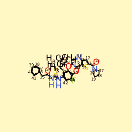 CC(C)(C)[Si](C)(C)ON1C=Nc2cc(C(=O)N3CCCC3)sc2[C@@H]1Oc1ccc(NC(=S)NC(=O)Cc2ccccc2)cc1F